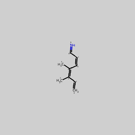 C=C/C(C)=C(C)\C=C/C=N